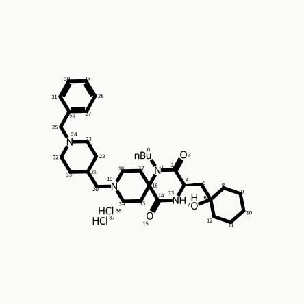 CCCCN1C(=O)[C@@H](CC2(O)CCCCC2)NC(=O)C12CCN(CC1CCN(Cc3ccccc3)CC1)CC2.Cl.Cl